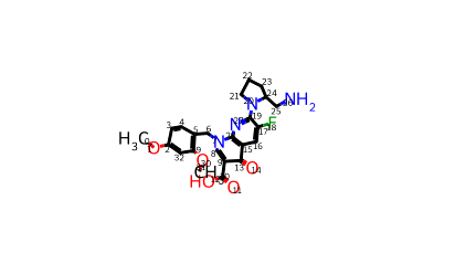 COc1ccc(Cn2cc(C(=O)O)c(=O)c3cc(F)c(N4CCCC4CN)nc32)c(OC)c1